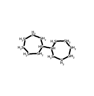 [SiH2]1[SiH2][SiH2][SiH2][SiH]([SiH]2[SiH2][SiH2][SiH2][SiH2][SiH2][SiH2]2)[SiH2][SiH2]1